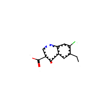 CCc1cc2c(=O)c(C(=O)O)c[nH]c2cc1Cl